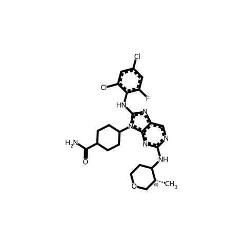 C[C@@H]1COCCC1Nc1ncc2nc(Nc3c(F)cc(Cl)cc3Cl)n(C3CCC(C(N)=O)CC3)c2n1